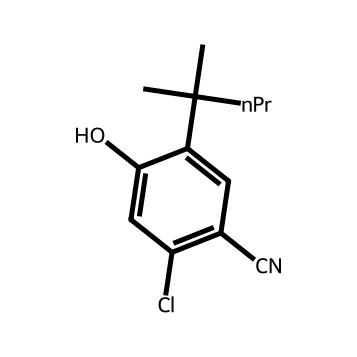 CCCC(C)(C)c1cc(C#N)c(Cl)cc1O